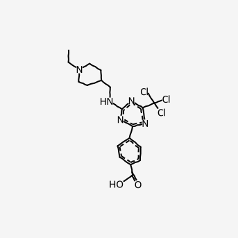 CCN1CCC(CNc2nc(-c3ccc(C(=O)O)cc3)nc(C(Cl)(Cl)Cl)n2)CC1